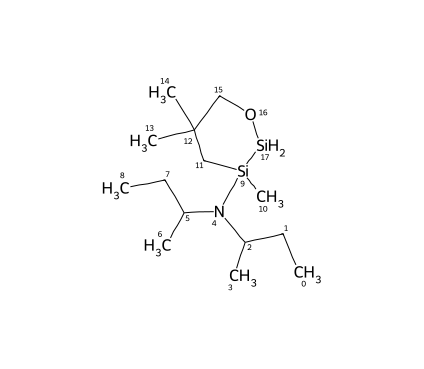 CCC(C)N(C(C)CC)[Si]1(C)CC(C)(C)CO[SiH2]1